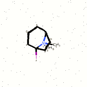 C[N+]1(C)C2CCCC1(I)CC2